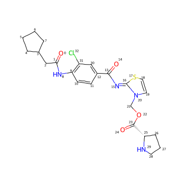 O=C(CC1CCCC1)Nc1ccc(C(=O)N=c2sccn2COC(=O)[C@@H]2CCCN2)cc1Cl